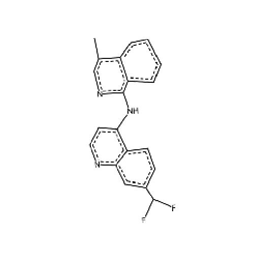 Cc1cnc(Nc2ccnc3cc(C(F)F)ccc23)c2ccccc12